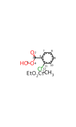 CCOC(C)=O.O=C(OO)c1ccccc1Cl